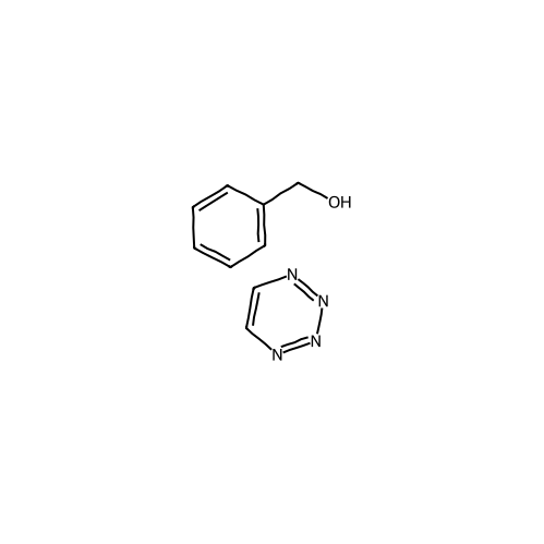 OCc1ccccc1.c1cnnnn1